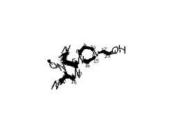 CON1C(C#N)=C(N2CCCN(CCO)CC2)N=CC1C#N